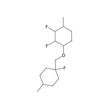 CC1CCC(F)(COC2CCC(C)C(F)C2F)CC1